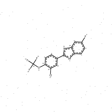 Fc1ccc2[se]c(-c3ccc(OC(F)(F)F)c(Cl)c3)nc2c1